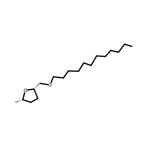 [CH2][C@H]1CC[C@@H](COCCCCCCCCCCCC)O1